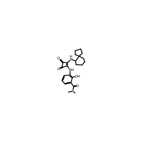 CN(C)C(=O)c1cccc(Nc2c(NC3CCCCC34CCCC4)c(=O)c2=O)c1O